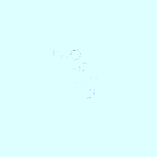 CC(C)Oc1cccc(C(=O)NC2COC3C(NC(=O)C4CC4)COC23)c1